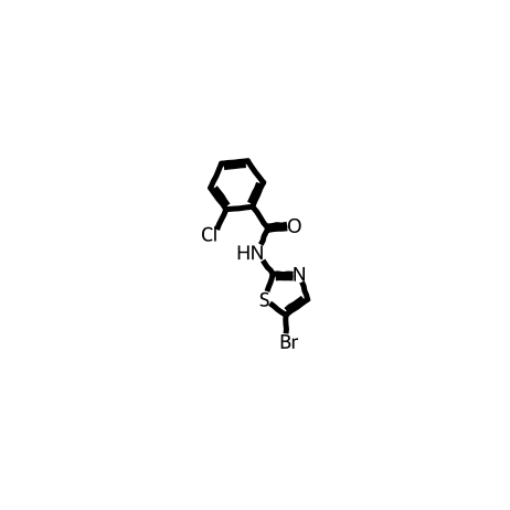 O=C(Nc1ncc(Br)s1)c1ccccc1Cl